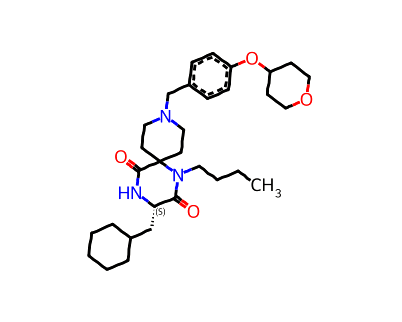 CCCCN1C(=O)[C@H](CC2CCCCC2)NC(=O)C12CCN(Cc1ccc(OC3CCOCC3)cc1)CC2